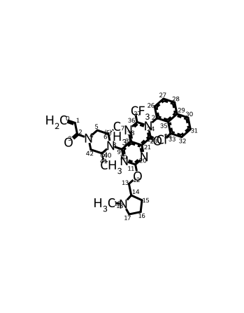 C=CC(=O)N1C[C@H](C)N(c2nc(OCC3CCCN3C)nc3c(=O)n(-c4cccc5cccc(Cl)c45)c(C(F)(F)F)nc23)[C@@H](C)C1